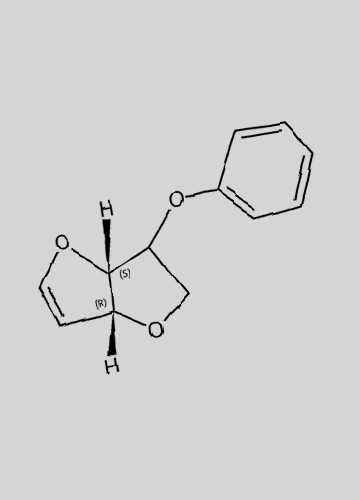 C1=C[C@H]2OCC(Oc3ccccc3)[C@H]2O1